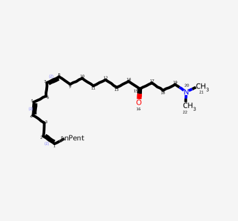 CCCCC/C=C\C/C=C\C/C=C\CCCCCCC(=O)CCCN(C)C